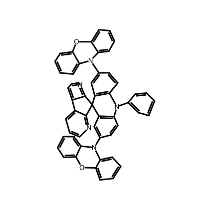 c1ccc(N2c3ccc(N4c5ccccc5Oc5ccccc54)cc3C3(c4cc(N5c6ccccc6Oc6ccccc65)ccc42)c2ncccc2-c2cccnc23)cc1